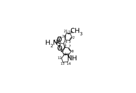 Cc1ccc(C(c2ccc3c(c2)CCCN3)S(N)(=O)=O)cc1